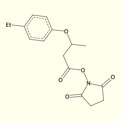 CCc1ccc(OC(C)CC(=O)ON2C(=O)CCC2=O)cc1